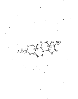 CC(=O)O[C@H]1CC[C@@]2(C)C(=CCC3C2CC[C@]2(C)C(N=O)=CCC32)C1